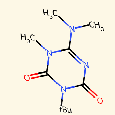 CN(C)c1nc(=O)n(C(C)(C)C)c(=O)n1C